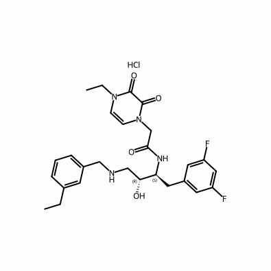 CCc1cccc(CNC[C@@H](O)[C@H](Cc2cc(F)cc(F)c2)NC(=O)Cn2ccn(CC)c(=O)c2=O)c1.Cl